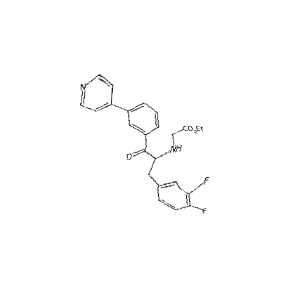 CCOC(=O)CNC(Cc1ccc(F)c(F)c1)C(=O)c1cccc(-c2ccncc2)c1